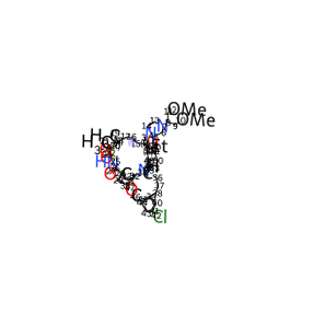 CCO[C@@]1(CN2CCN(C(COC)COC)CC2)/C=C/C[C@H](C)[C@@H](C)S(=O)(=O)NC(=O)c2ccc3c(c2)N(CCCCc2cc(Cl)ccc2CO3)C[C@@H]2CC[C@H]21